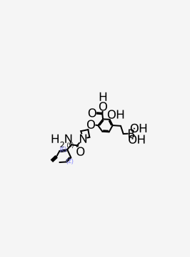 C#C/C=C(\C=C/C)[C@H](N)C(=O)N1CC(Oc2ccc(CCB(O)O)c(O)c2C(=O)O)C1